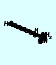 CCCN(CCCNC(=O)OC(C)(C)C)C(=O)C1=Cc2sc(CCCCCNC(=O)CCOCCOCCOCCOCCOCCOCCOCCOCCOCCOCCC(=O)O)cc2N=C(N)C1